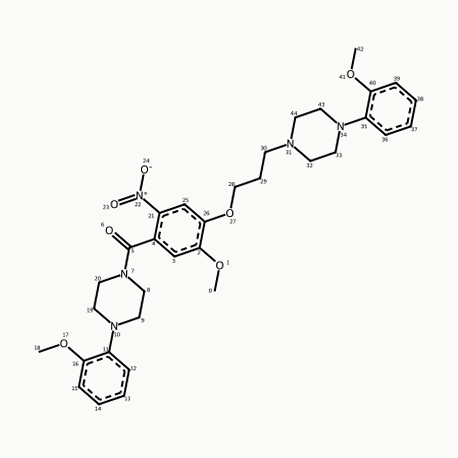 COc1cc(C(=O)N2CCN(c3ccccc3OC)CC2)c([N+](=O)[O-])cc1OCCCN1CCN(c2ccccc2OC)CC1